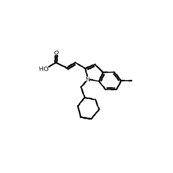 Cc1ccc2c(c1)cc(/C=C/C(=O)O)n2CC1CCCCC1